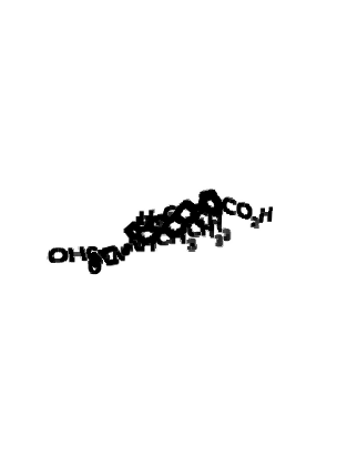 CC1(C)C(c2ccc(C(=O)O)cc2)=CC[C@@]2(C)C1CC[C@@]1(C)C3CC[C@@]4(NCCN5CCN(C(=O)C=O)CC5)CCCC4[C@H]3CCC12